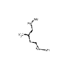 CCCNCCC(C)CNCCC